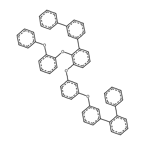 c1ccc(Oc2ccccc2Oc2c(Oc3cccc(Oc4cccc(-c5ccccc5-c5ccccc5)c4)c3)cccc2-c2cccc(-c3ccccc3)c2)cc1